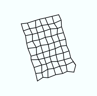 C1C2CC34C1C1C5C6C7CC8C9C%10C%11C%12C%13C%14C%15CC%16C%17C%18C%19C%20CC%21C%22C%23C%24C%25C%26C2C32C%263C%25%26C%24%25C%23%24C%22%23C%20%21C%19%20C%18%19C%17%18C%16%15C%14%15C%13%14C%12%13C%11%12C%10%11C9%10C78C67C56C14C21C62C7%10C%114C%125C%136C%147C%18%15C%198C%20%23C%249C%25%10C%26%11C31C24C%115C%106C897